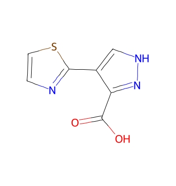 O=C(O)c1n[nH]cc1-c1nccs1